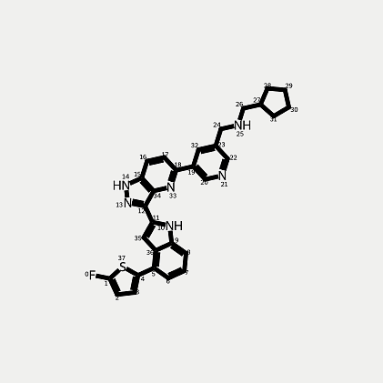 Fc1ccc(-c2cccc3[nH]c(-c4n[nH]c5ccc(-c6cncc(CNCC7CCCC7)c6)nc45)cc23)s1